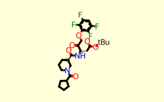 CC(C)(C)OC(=O)C[C@H](NC(=O)[C@@H]1CCCN(C(=O)C2CCCC2)C1)C(=O)COc1c(F)c(F)cc(F)c1F